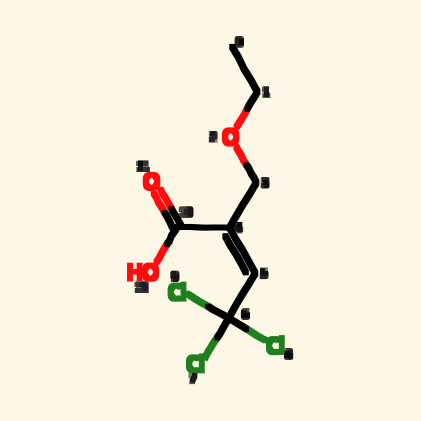 CCOCC(=CC(Cl)(Cl)Cl)C(=O)O